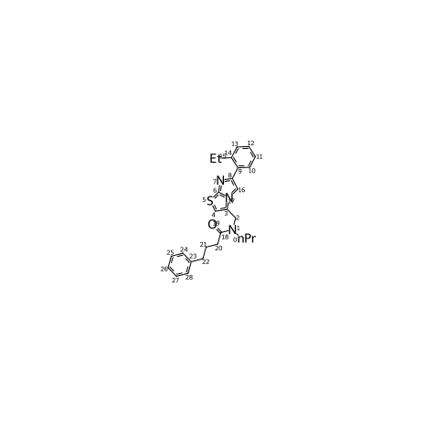 CCCN(Cc1csc2nc(-c3ccccc3CC)cn12)C(=O)CCCc1ccccc1